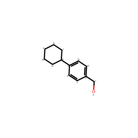 [O]Cc1ccc(C2CCCCC2)cc1